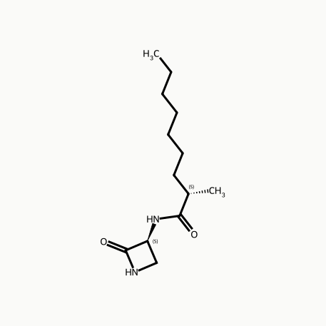 CCCCCCC[C@H](C)C(=O)N[C@H]1CNC1=O